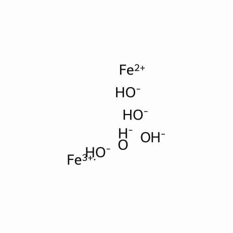 [Fe+2].[Fe+3].[OH-].[OH-].[OH-].[OH-].[OH-]